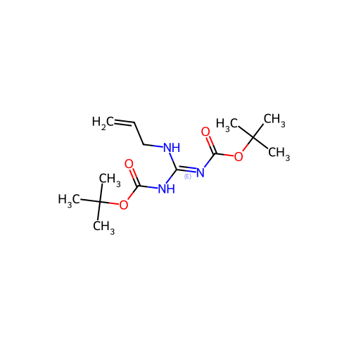 C=CCN/C(=N\C(=O)OC(C)(C)C)NC(=O)OC(C)(C)C